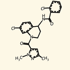 Cc1cc(C(=O)N2CCC(NC(=O)c3ccccc3Cl)c3ccc(Cl)cc32)n(C)n1